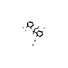 CCCC(C)(Pc1ccccc1N(C)C)c1cc(OC)ccc1OCOC